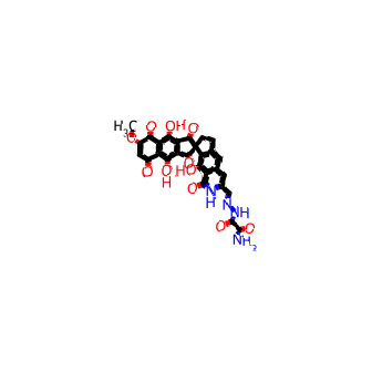 COC1=CC(=O)c2c(O)c3c(c(O)c2C1=O)C(=O)C1(CCc2cc4cc(C=NNC(=O)C(N)=O)[nH]c(=O)c4c(O)c21)C3=O